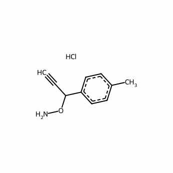 C#CC(ON)c1ccc(C)cc1.Cl